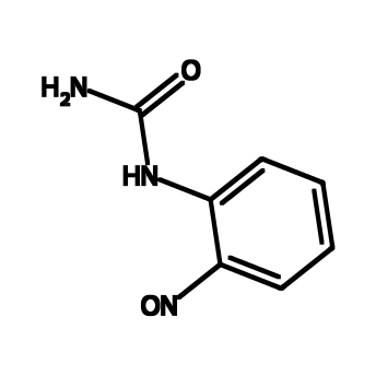 NC(=O)Nc1ccccc1N=O